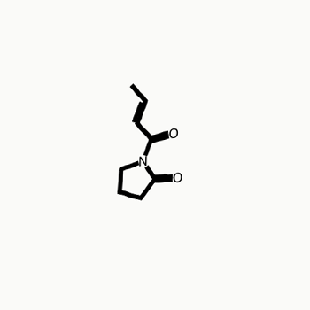 CC=CC(=O)N1CCCC1=O